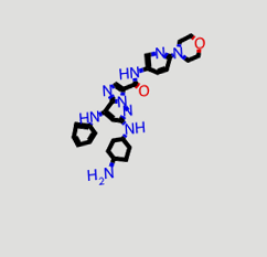 NC1CCC(Nc2cc(Nc3ccccc3)c3ncc(C(=O)Nc4ccc(N5CCOCC5)nc4)n3n2)CC1